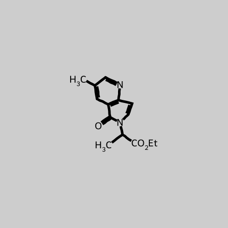 CCOC(=O)C(C)n1ccc2ncc(C)cc2c1=O